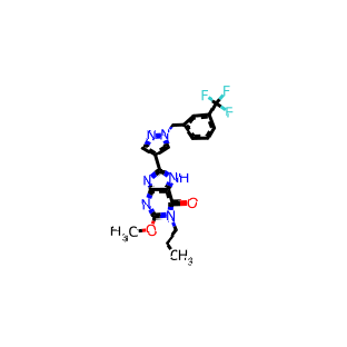 CCCn1c(OC)nc2nc(-c3cnn(Cc4cccc(C(F)(F)F)c4)c3)[nH]c2c1=O